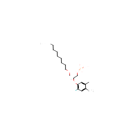 CCCCCCCCCCCCCCCCCCOC[C@H](COP(=O)(O)O)Oc1cc(C)c(C#N)cc1F